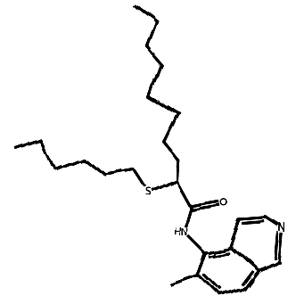 CCCCCCCCC(SCCCCCC)C(=O)Nc1c(C)ccc2cnccc12